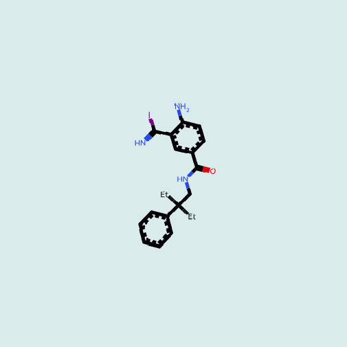 CCC(CC)(CNC(=O)c1ccc(N)c(C(=N)I)c1)c1ccccc1